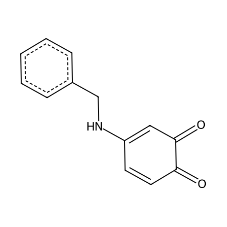 O=C1C=CC(NCc2ccccc2)=CC1=O